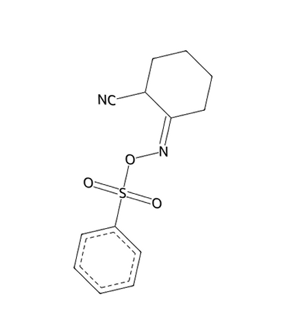 N#CC1CCCC/C1=N/OS(=O)(=O)c1ccccc1